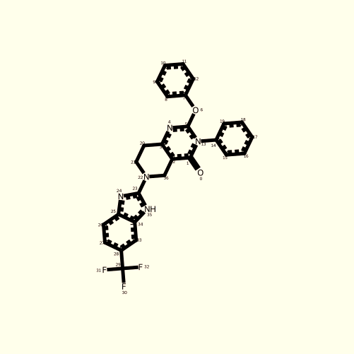 O=c1c2c(nc(Oc3ccccc3)n1-c1ccccc1)CCN(c1nc3ccc(C(F)(F)F)cc3[nH]1)C2